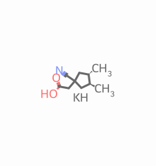 C[C@H]1CC(C#N)(CC(=O)O)C[C@@H]1C.[KH]